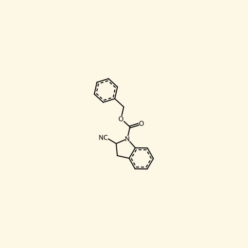 N#CC1Cc2ccccc2N1C(=O)OCc1ccccc1